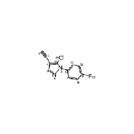 C#Cc1cnn(-c2ccc(F)cc2)c1Cl